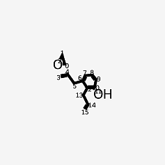 C1CO1.C=CCc1cccc(O)c1CC=C